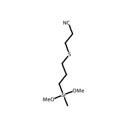 CO[Si](C)(CCCSCCC#N)OC